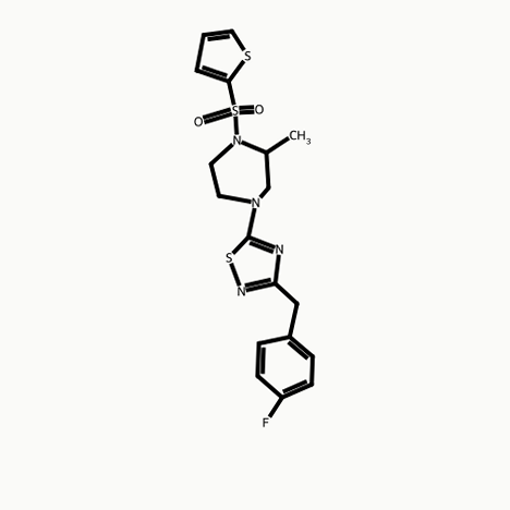 CC1CN(c2nc(Cc3ccc(F)cc3)ns2)CCN1S(=O)(=O)c1cccs1